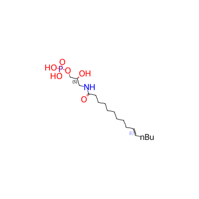 CCCC/C=C/CCCCCCCCC(=O)NC[C@H](O)COP(=O)(O)O